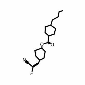 CCCCC1CCC(C(=O)OC2CCC(/C=C(/F)C#N)CC2)CC1